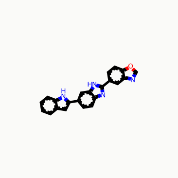 c1ccc2[nH]c(-c3ccc4nc(-c5ccc6ocnc6c5)[nH]c4c3)cc2c1